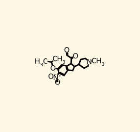 CC(C)Oc1cc2c(cc1[N+](=O)[O-])CC(C1CCN(C)CC1)C2C(=O)C=O